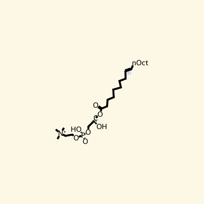 CCCCCCCC/C=C/CCCCCCCC(=O)OC[C@@H](O)COP(=O)(O)OCC[N+](C)(C)C